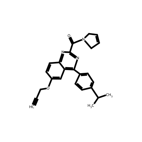 C#CCOc1ccc2nc(C(=O)N3CC=CC3)nc(-c3ccc(C(C)C)cc3)c2c1